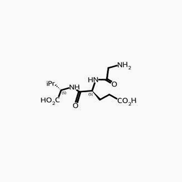 CC(C)[C@H](NC(=O)[C@H](CCC(=O)O)NC(=O)CN)C(=O)O